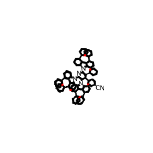 N#Cc1ccc(-c2c(-c3ccccc3)c(-n3c4cccc(-c5ccccc5)c4c4c(-c5ccccc5)cccc43)nc(-n3c4cccc(-c5ccccc5)c4c4c(-c5ccccc5)cccc43)c2-n2c3cccc(-c4ccccc4)c3c3c(-c4ccccc4)cccc32)cc1